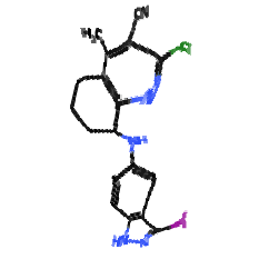 Cc1c(C#N)c(Cl)nc2c1CCCC2Nc1ccc2[nH]nc(I)c2c1